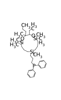 CCCC1(C)O[Si](C)(C)CCC[Si](C)(CCCP(c2ccccc2)c2ccccc2)CCC[Si](C)(C)OC1CC